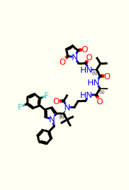 CC(=O)N(CCCNC(=O)[C@H](C)NC(=O)[C@@H](NC(=O)CN1C(=O)C=CC1=O)C(C)C)[C@@H](c1cc(-c2cc(F)ccc2F)cn1Cc1ccccc1)C(C)(C)C